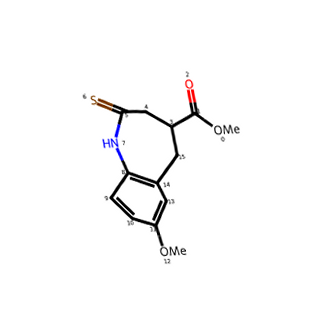 COC(=O)C1CC(=S)Nc2ccc(OC)cc2C1